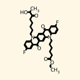 CCOC(=O)CCCCCn1c2ccc(F)cc2c(=O)c2cc3c(cc21)c(=O)c1cc(F)ccc1n3CCCCCC(=O)C(C)O